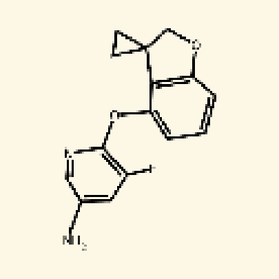 Nc1cnc(Oc2cccc3c2C2(CC2)CO3)c(F)c1